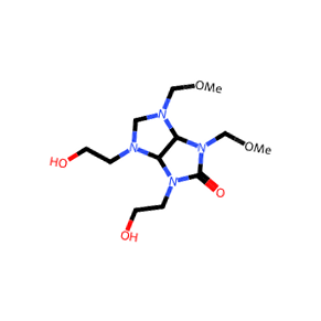 COCN1CN(CCO)C2C1N(COC)C(=O)N2CCO